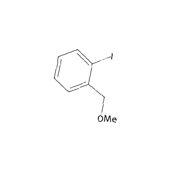 [CH2]OCc1ccccc1I